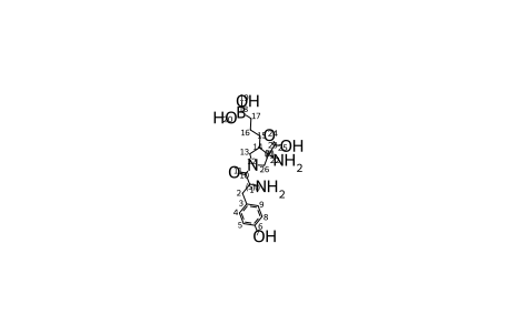 N[C@@H](Cc1ccc(O)cc1)C(=O)N1CC(CCCB(O)O)[C@](N)(C(=O)O)C1